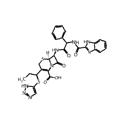 CCC(Sc1cnn[nH]1)C1=C(C(=O)O)N2C(=O)C(NC(=O)C(NC(=O)c3nc4ccccc4[nH]3)c3ccccc3)[C@@H]2SC1